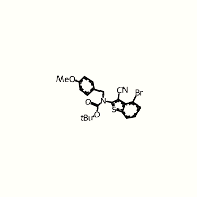 COc1ccc(CN(C(=O)OC(C)(C)C)c2sc3cccc(Br)c3c2C#N)cc1